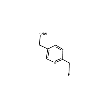 CSCc1ccc(CF)nc1